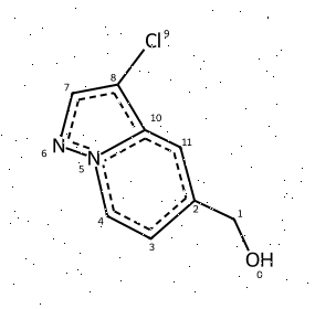 OCc1ccn2ncc(Cl)c2c1